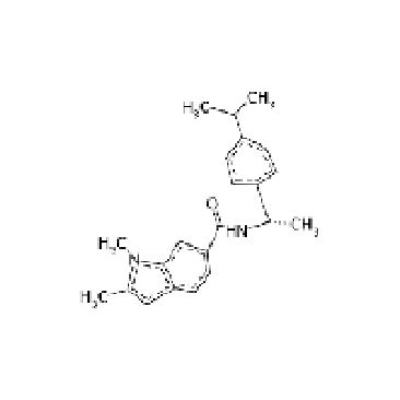 Cc1cc2ccc(C(=O)N[C@@H](C)c3ccc(C(C)C)cc3)cc2n1C